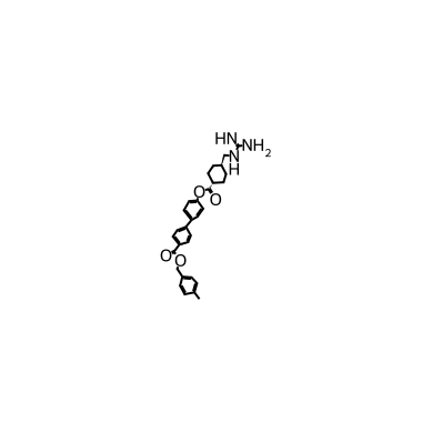 Cc1ccc(COC(=O)c2ccc(-c3ccc(OC(=O)[C@H]4CC[C@H](CNC(=N)N)CC4)cc3)cc2)cc1